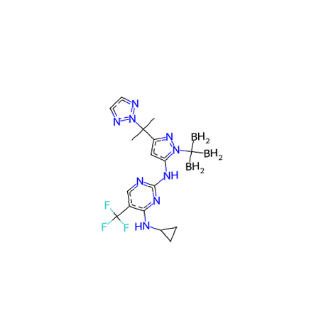 BC(B)(B)n1nc(C(C)(C)n2nccn2)cc1Nc1ncc(C(F)(F)F)c(NC2CC2)n1